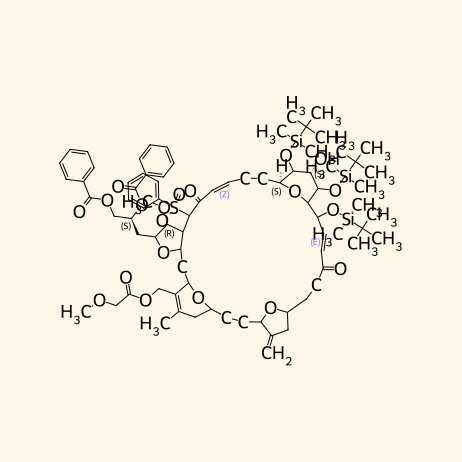 C=C1CC2CCC(=O)/C=C/C(O[Si](C)(C)C(C)(C)C)C3O[C@@H](CC/C=C\C(=O)C(S(=O)(=O)c4ccccc4)C4C(CC5OC(CCC1O2)CC(C)=C5COC(=O)COC)OC(C[C@@H](COC(=O)c1ccccc1)OC(=O)c1ccccc1)[C@@H]4OC)C(O[Si](C)(C)C(C)(C)C)[C@H](O)C3O[Si](C)(C)C(C)(C)C